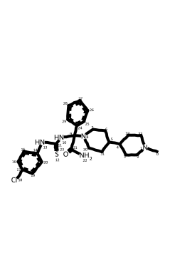 CN1CCC(C2CCN(C(NC(=S)Nc3ccc(Cl)cc3)(C(N)=O)c3ccccc3)CC2)CC1